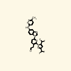 Cc1ccc(Nc2ccc3c(c2)ncn3-c2ccc(CC=O)c(-n3nc(C(F)F)cc3C(F)F)n2)nn1